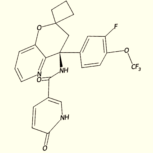 O=C(N[C@]1(c2ccc(OC(F)(F)F)c(F)c2)CC2(CCC2)Oc2cccnc21)c1ccc(=O)[nH]c1